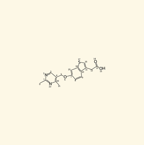 Cc1ncc(COc2ccc3c(CC(=O)O)csc3c2)c(C)n1